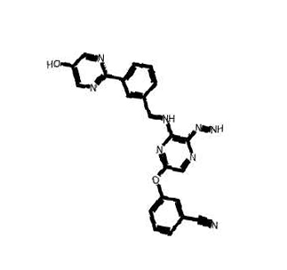 N#Cc1cccc(Oc2cnc(N=N)c(NCc3cccc(-c4ncc(O)cn4)c3)n2)c1